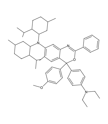 CCN(CC)c1ccc(C2(c3ccc(OC)cc3)OC(c3ccccc3)=Nc3cc(N(C4CC(C)CCC4C(C)C)C4CC(C)CCC4C(C)C)c(C)cc32)cc1